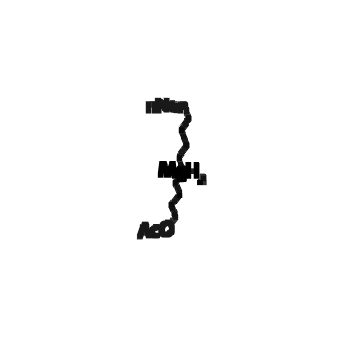 CCCCCCCCCCCCCCCCCCOC(C)=O.[MgH2]